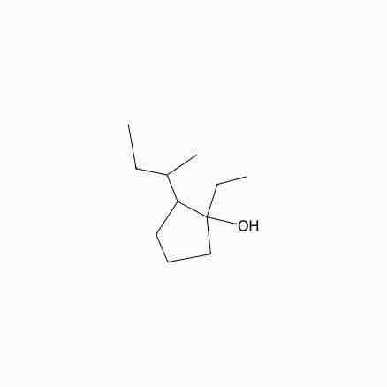 CCC(C)C1CCCC1(O)CC